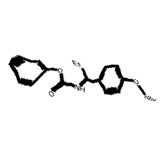 CCCCOc1ccc(C(CC)NC(=O)Oc2ccccc2)cc1